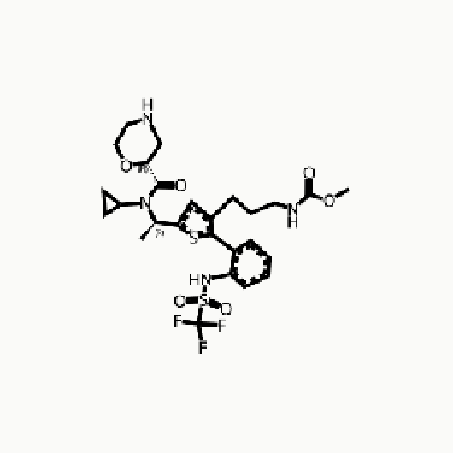 COC(=O)NCCCc1cc([C@@H](C)N(C(=O)[C@H]2CNCCO2)C2CC2)sc1-c1ccccc1NS(=O)(=O)C(F)(F)F